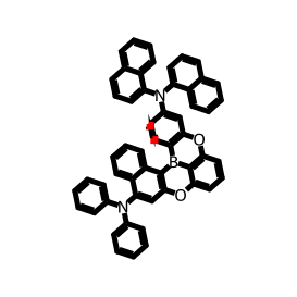 C1=CC2C(N(c3cccc4ccccc34)c3cccc4ccccc34)=CC3=C(B4c5c(cccc5Oc5cc(N(c6ccccc6)c6ccccc6)c6ccccc6c54)O3)C2C=C1